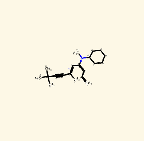 C=CC=C(/C=C(\C)C#CC(C)(C)C)N(C)C1CCCCC1